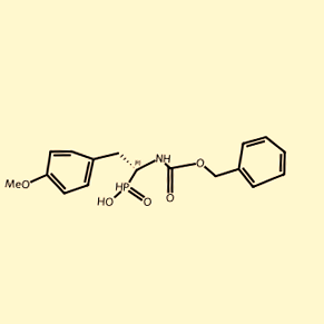 COc1ccc(C[C@H](NC(=O)OCc2ccccc2)[PH](=O)O)cc1